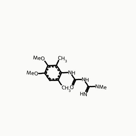 CNC(=N)NC(=O)Nc1c(C)cc(OC)c(OC)c1C